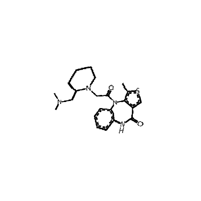 Cc1scc2c1N(C(=O)CN1CCCCC1CN(C)C)c1ccccc1NC2=O